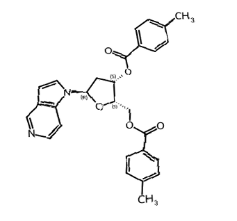 Cc1ccc(C(=O)OC[C@@H]2O[C@@H](n3ccc4cnccc43)C[C@@H]2OC(=O)c2ccc(C)cc2)cc1